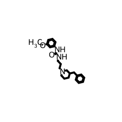 COc1cccc(NC(=O)NCCCN2CCCC(Cc3ccccc3)C2)c1